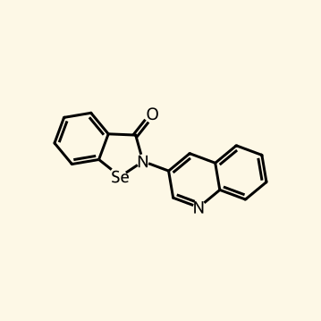 O=c1c2ccccc2[se]n1-c1cnc2ccccc2c1